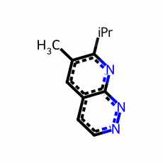 Cc1cc2ccnnc2nc1C(C)C